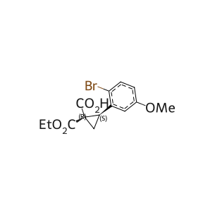 CCOC(=O)[C@]1(C(=O)O)C[C@@H]1c1cc(OC)ccc1Br